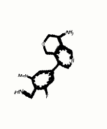 CNc1cc(-c2cncc3c2COCC3N)cc(F)c1C=N